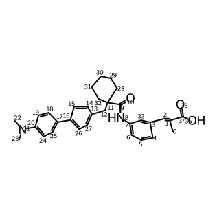 C/C(=C\c1cccc(NC(=O)C2(Cc3ccc(-c4ccc(N(C)C)cc4)cc3)CCCCC2)c1)C(=O)O